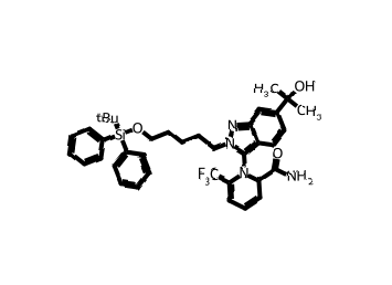 CC(C)(O)c1ccc2c(N3C(C(F)(F)F)=CC=CC3C(N)=O)n(CCCCCO[Si](c3ccccc3)(c3ccccc3)C(C)(C)C)nc2c1